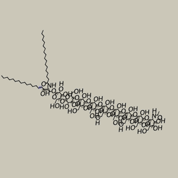 CCCCCCCCCCCCC/C=C/[C@@H](O)[C@H](CO[C@@H]1OC(CO)[C@@H](O[C@@H]2OC(CO)[C@H](O[C@@H]3OC(CO)[C@H](O)[C@H](O[C@H]4OC(CO)[C@H](O)[C@H](O[C@H]5OC(CO)[C@H](O)[C@H](O[C@H]6OC(CO)[C@H](O)[C@H](O[C@H]7OC(CO)[C@H](O)[C@H](O[C@H]8OC(CO)[C@H](O)[C@H](O[C@@H]9OC(CO)[C@H](O)[C@H](O)C9NC(C)=O)C8O)C7O)C6O)C5O)C4O)C3O)[C@H](O)C2O)[C@H](O)C1O)NC(=O)CCCCCCCCCCCCCCCCC